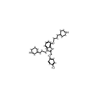 Clc1ccc(OCc2nc3c(OCCCC4CCNCC4)cccc3n2CCCC2CCCNC2)cc1